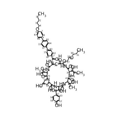 CCCCCOc1ccc(-c2ccc(-c3ccc(C(=O)N[C@H]4C[C@@H](O)C(OCCOCCC)NC(=O)C5[C@@H](O)[C@@H](C)CN5C(=O)C([C@@H](C)O)NC(=O)C([C@H](O)[C@@H](O)c5ccc(O)cc5)NC(=O)C5C[C@@H](O)CN5C(=O)C([C@@H](C)O)NC4=O)cc3)cc2)cc1